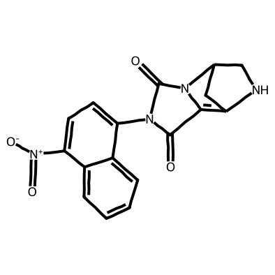 O=C1C2=C3CC(CN3)N2C(=O)N1c1ccc([N+](=O)[O-])c2ccccc12